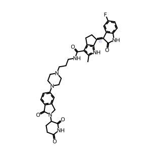 Cc1[nH]c2c(c1C(=O)NCCCN1CCN(c3ccc4c(c3)CN(C3CCC(=O)NC3=O)C4=O)CC1)CC/C2=C1/C(=O)Nc2ccc(F)cc21